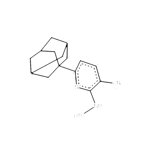 CCCCNc1nc(C23CC4CC(CC(C4)C2)C3)ccc1C#N